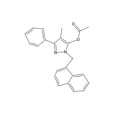 CC(=O)Oc1c(C)c(-c2ccccc2)nn1Cc1cccc2ccccc12